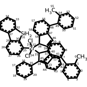 Cc1ccccc1-c1cccc2c1C=C(c1ccccc1)[CH]2[Zr]([Cl])([Cl])([c]1cccc2c1[SiH2]c1ccccc1-2)[CH]1C(c2ccccc2)=Cc2c(-c3ccccc3C)cccc21